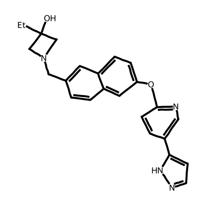 CCC1(O)CN(Cc2ccc3cc(Oc4ccc(-c5ccn[nH]5)cn4)ccc3c2)C1